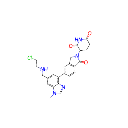 Cn1cnc2c(-c3ccc4c(c3)CN(C3CCC(=O)NC3=O)C4=O)cc(CNCCCl)cc21